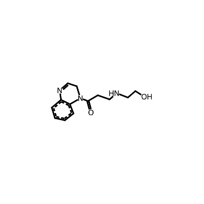 O=C(CCNCCO)N1CC=Nc2ccccc21